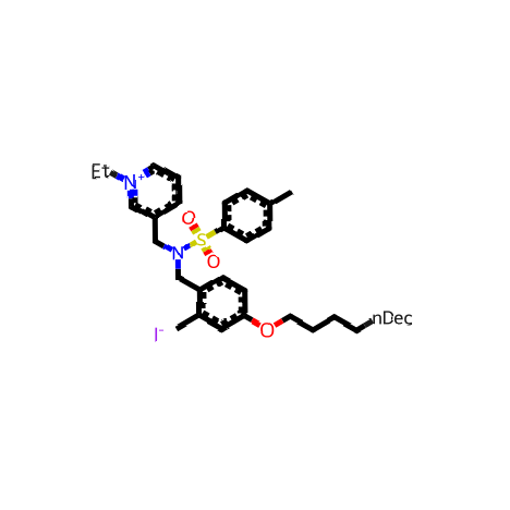 CCCCCCCCCCCCCCOc1ccc(CN(Cc2ccc[n+](CC)c2)S(=O)(=O)c2ccc(C)cc2)c(C)c1.[I-]